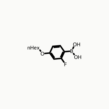 CCCCCCOc1ccc(B(O)O)c(F)c1